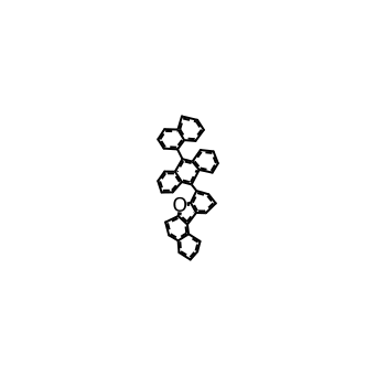 c1ccc2c(-c3c4ccccc4c(-c4cccc5c4oc4ccc6ccccc6c45)c4ccccc34)cccc2c1